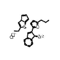 CCC1=CC2C=CC=C2S1.CCCc1ccc(C2=Cc3ccccc3[CH]2[Zr+2])o1.[Cl-].[Cl-]